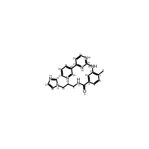 Cc1ccc(C(=O)NCCCn2ccnc2)cc1Nc1nccc(-c2cccnc2)n1